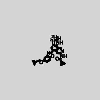 [2H]C([2H])([2H])Nc1ncc(-c2nc3cc(OCC4CC4)ccc3o2)c2cc(NC(=O)C3CC3)ncc12